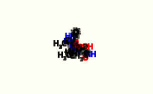 CC(C)C[C@H](NC(=O)c1cc2ccccc2[nH]1)C(=O)N1C[C@H]2[C@@H]([C@H]1C(=O)N[C@@H](C[C@@H]1CCNC1=O)C(=O)CO)C2(C)C